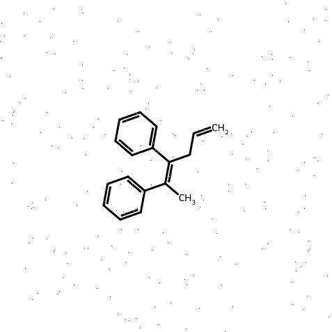 C=CCC(=C(C)c1ccccc1)c1ccccc1